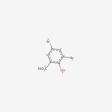 CCOC(=O)c1cc(Br)cc(C(C)=O)c1O